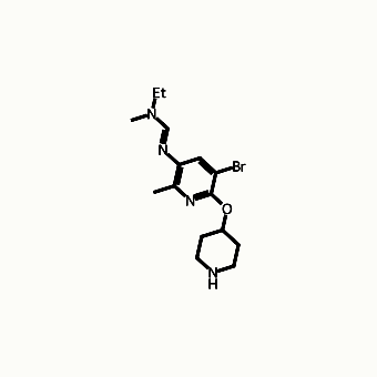 CCN(C)/C=N/c1cc(Br)c(OC2CCNCC2)nc1C